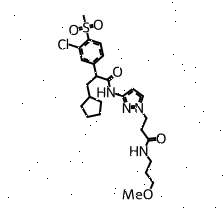 COCCCNC(=O)CCn1ccc(NC(=O)C(CC2CCCC2)c2ccc(S(C)(=O)=O)c(Cl)c2)n1